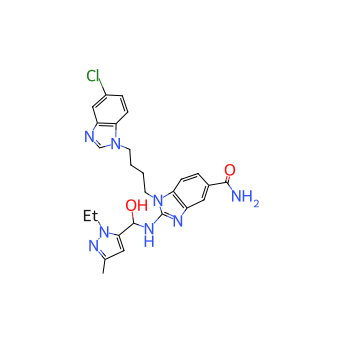 CCn1nc(C)cc1C(O)Nc1nc2cc(C(N)=O)ccc2n1CCCCn1cnc2cc(Cl)ccc21